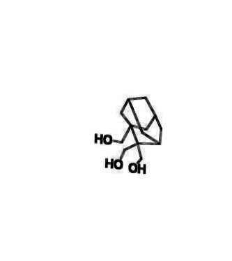 OCC12CC3CC(CC(C3)C1(CO)CO)C2